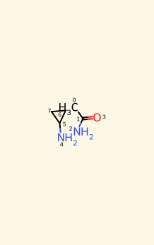 CC(N)=O.NC1CC1